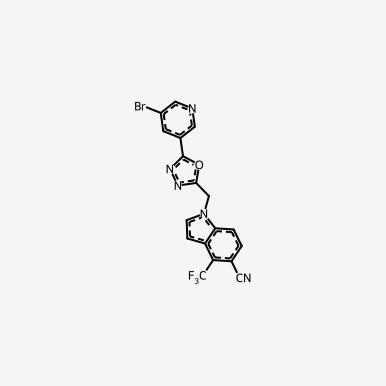 N#Cc1ccc2c(ccn2Cc2nnc(-c3cncc(Br)c3)o2)c1C(F)(F)F